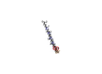 CC(C)=CCC/C(C)=C/CC/C(C)=C/CC/C=C(\C)CC/C=C(\C)CCCOC(=O)CBr